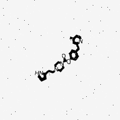 Cc1ccnc(Cc2ccc(OC(=O)N3CCN(CCc4ccc[nH]4)CC3)cc2)c1